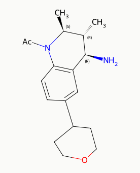 CC(=O)N1c2ccc(C3CCOCC3)cc2[C@H](N)[C@@H](C)[C@@H]1C